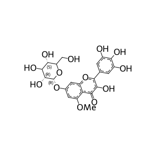 COc1cc(O[C@H]2OC(CO)[C@@H](O)C(O)[C@H]2O)cc2oc(-c3cc(O)c(O)c(O)c3)c(O)c(=O)c12